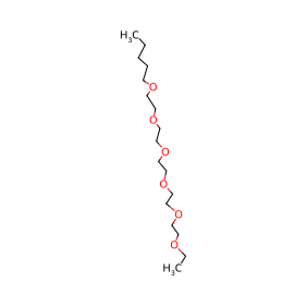 CCCCCOCCOCCOCCOCCOCCOCC